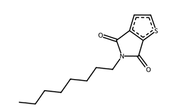 CCCCCCCCN1C(=O)c2ccsc2C1=O